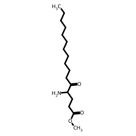 CCCCCCCCCCCC(=O)C(N)CCC(=O)OC